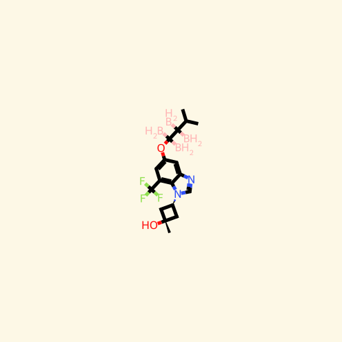 BC(B)(Oc1cc(C(F)(F)F)c2c(c1)ncn2[C@H]1C[C@@](C)(O)C1)C(B)(B)C(C)C